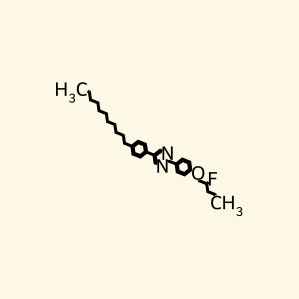 CCCCCCCCCCCc1ccc(-c2cnc(-c3ccc(OCC(F)CCC)cc3)nc2)cc1